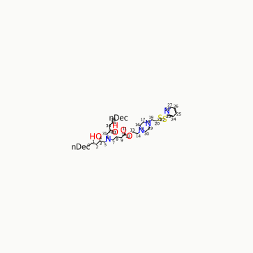 CCCCCCCCCCCCC(O)CN(CCCC(=O)OCCN1CCN(CCSSc2ccccn2)CC1)CC(O)CCCCCCCCCCCC